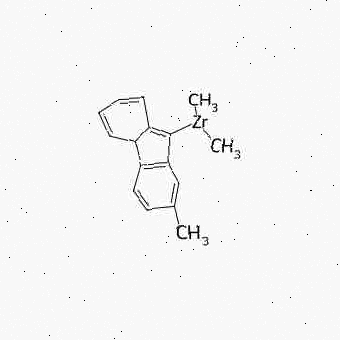 Cc1ccc2c(c1)[C]([Zr]([CH3])[CH3])=C1C=CC=CC12